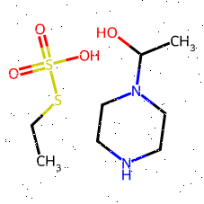 CC(O)N1CCNCC1.CCSS(=O)(=O)O